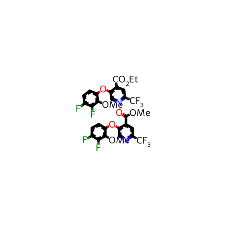 CCOC(=O)c1cc(C(F)(F)F)ncc1Oc1ccc(F)c(F)c1OC.COC(=O)c1cc(C(F)(F)F)ncc1Oc1ccc(F)c(F)c1OC